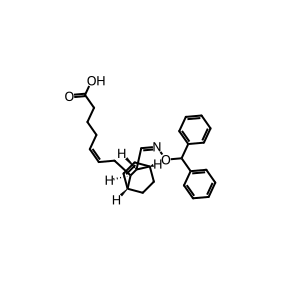 O=C(O)CCC/C=C\C[C@H]1[C@H](/C=N\OC(c2ccccc2)c2ccccc2)[C@@H]2C=C[C@H]1CC2